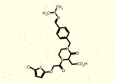 CN(C)N=Cc1ccc(CN2CCN(C(=O)COc3ccc(Cl)s3)C(CC(=O)O)C2=O)cc1